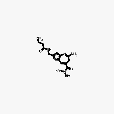 CCCN(CCC)C(=O)C1=Cc2sc(CNC(=O)CCN)cc2N=C(N)C1